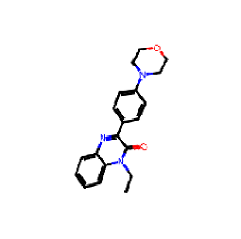 CCn1c(=O)c(-c2ccc(N3CCOCC3)cc2)nc2ccccc21